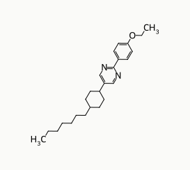 CCCCCCCC1CCC(c2cnc(-c3ccc(OCC)cc3)nc2)CC1